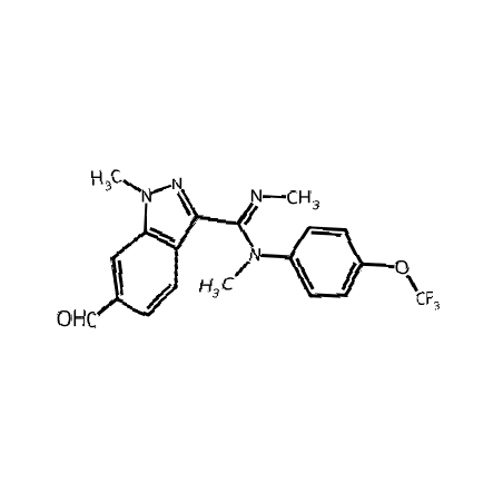 CN=C(c1nn(C)c2cc(C=O)ccc12)N(C)c1ccc(OC(F)(F)F)cc1